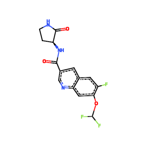 O=C(N[C@H]1CCNC1=O)c1cnc2cc(OC(F)F)c(F)cc2c1